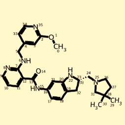 COc1cc(CNc2ncccc2C(=O)Nc2ccc3c(c2)N[C@H](CN2CCC(C)(C)C2)C3)ccn1